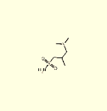 CC(CN(C)C)CS(N)(=O)=O